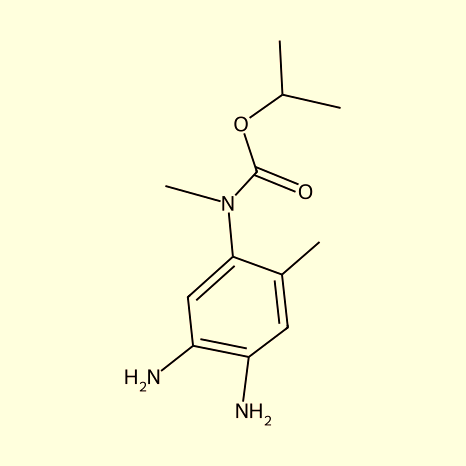 Cc1cc(N)c(N)cc1N(C)C(=O)OC(C)C